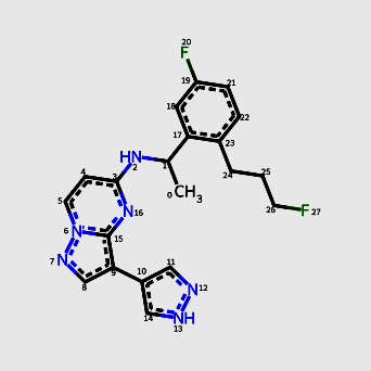 CC(Nc1ccn2ncc(-c3cn[nH]c3)c2n1)c1cc(F)ccc1CCCF